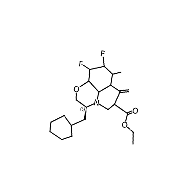 C=C1C(C(=O)OCC)CN2C3C(OC[C@@H]2CC2CCCCC2)C(F)C(F)C(C)C13